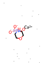 C1COCCN1.O.[Ca+2].[O-]B[O-]